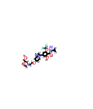 COCC1CN(CCOc2ccn3c(-c4cc(OC)c(C(=O)NC5CC5)c(OC(F)F)c4)cnc3c2)CCO1